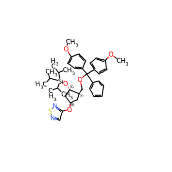 COc1ccc(C(OC[C@H]2C[C@@H](Oc3cnsn3)C[C@@H]2O[Si](C(C)C)(C(C)C)C(C)C)(c2ccccc2)c2ccc(OC)cc2)cc1